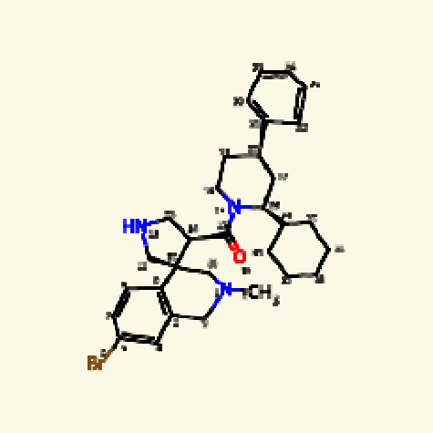 CN1Cc2cc(Br)ccc2[C@@]2(CNC[C@H]2C(=O)N2CC[C@@H](c3ccccc3)C[C@H]2C2CCCCC2)C1